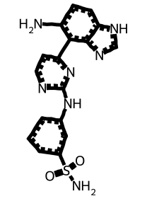 Nc1ccc2[nH]cnc2c1-c1ccnc(Nc2cccc(S(N)(=O)=O)c2)n1